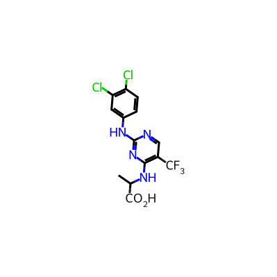 CC(Nc1nc(Nc2ccc(Cl)c(Cl)c2)ncc1C(F)(F)F)C(=O)O